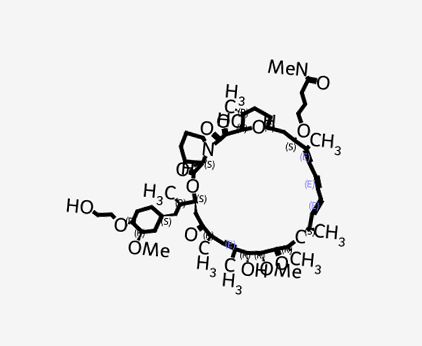 CNC(=O)CCCO[C@H]1C[C@@H]2CC[C@@H](C)[C@@](O)(O2)C(=O)C(=O)N2CCCC[C@H]2C(=O)O[C@H]([C@H](C)C[C@@H]2CC[C@@H](OCCO)[C@H](OC)C2)CC(=O)[C@H](C)/C=C(\C)[C@@H](O)[C@@H](OC)C(=O)[C@H](C)C[C@H](C)/C=C/C=C/C=C/1C